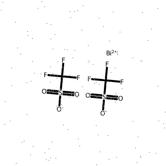 O=S(=O)([O-])C(F)(F)F.O=S(=O)([O-])C(F)(F)F.[Bi+2]